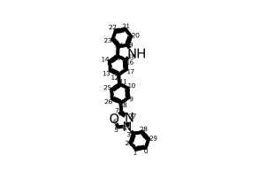 c1ccc(N2COC(c3ccc(-c4ccc5c(c4)[nH]c4ccccc45)cc3)=N2)cc1